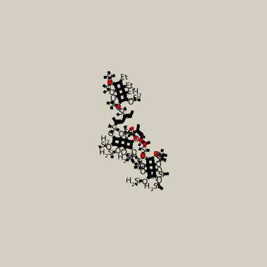 CC=C(C=C(C)[Si](C)(C)OC12C3(O[SiH2]C)C4(O[SiH2]C)C5(O[SiH2]C)C3(O[SiH2]C)C1(O[Si](C)(C)C)C5(O[Si](C)(C)C(C)=CC=C(C)[Si](C)(C)OC13C5(O[SiH2]C)C6(O[SiH2]C)C7(O[SiH2]C)C5(O[SiH2]C)C1(O[Si](C)(C)C)C7(O[Si](C)(C)C)C63O[Si](C)(C)C)C42O[Si](C)(C)C)[Si](C)(C)OC12C3(O[SiH2]C)C4(CC)C5(CC)C3(CC)C1(O[Si](C)(C)C)C5(O[Si](C)(C)C)C42O[Si](C)(C)C